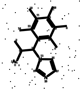 CC(=O)C(C)C(c1c(C)c(C)c(C)c(C)c1C)n1ccnc1